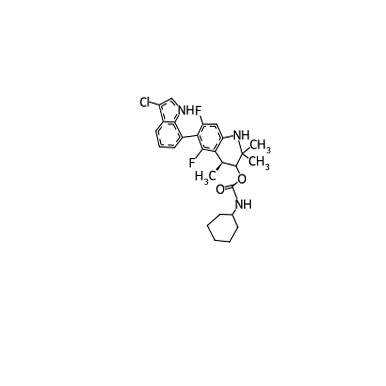 C[C@H]1c2c(cc(F)c(-c3cccc4c(Cl)c[nH]c34)c2F)NC(C)(C)C1OC(=O)NC1CCCCC1